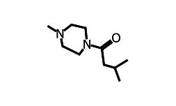 CC(C)CC(=O)N1CCN(C)CC1